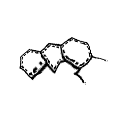 [CH]c1ccc2cc3ccccc3cc2c1[CH]